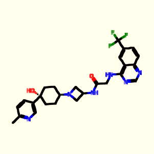 Cc1ccc([C@]2(O)CC[C@H](N3CC(NC(=O)CNc4ncnc5ccc(C(F)(F)F)cc45)C3)CC2)cn1